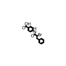 O=C(O)c1ccc(NC(=O)[C@H](Br)Cc2ccccc2)cc1